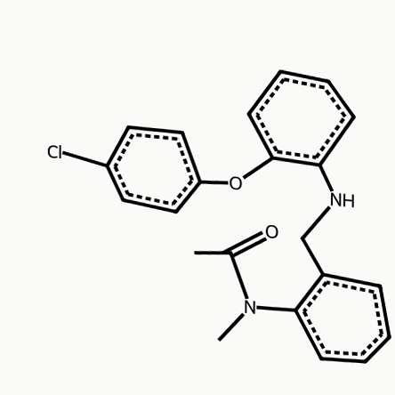 CC(=O)N(C)c1ccccc1CNc1ccccc1Oc1ccc(Cl)cc1